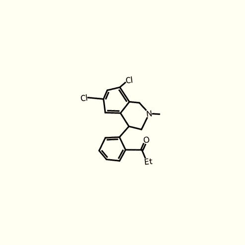 CCC(=O)c1ccccc1C1CN(C)Cc2c(Cl)cc(Cl)cc21